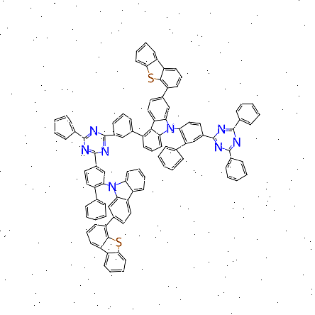 c1ccc(-c2nc(-c3ccccc3)nc(-c3ccc(-n4c5cc(-c6cccc7c6sc6ccccc67)ccc5c5c(-c6cccc(-c7nc(-c8ccccc8)nc(-c8ccc(-c9ccccc9)c(-n9c%10ccccc%10c%10ccc(-c%11cccc%12c%11sc%11ccccc%11%12)cc%109)c8)n7)c6)cccc54)c(-c4ccccc4)c3)n2)cc1